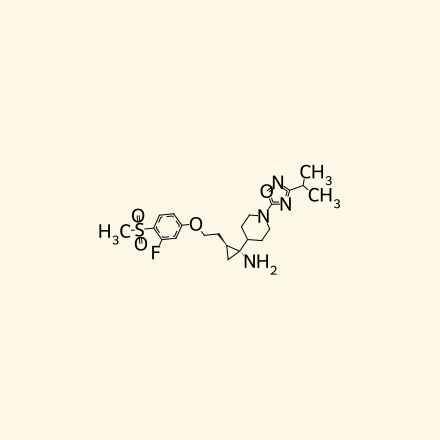 CC(C)c1noc(N2CCC([C@@]3(N)C[C@H]3CCOc3ccc(S(C)(=O)=O)c(F)c3)CC2)n1